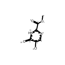 COC(=O)c1ncc(Cl)c(=O)[nH]1